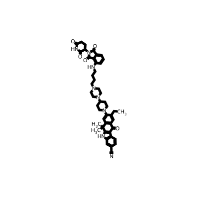 CCc1cc2c(cc1N1CCC(N3CCN(CCCCNc4cccc5c4C(=O)N(C4CCC(=O)NC4=O)C5=O)CC3)CC1)C(C)(C)c1[nH]c3cc(C#N)ccc3c1C2=O